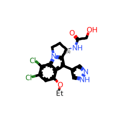 CCOc1cc(Cl)c(Cl)c2c1c(-c1cn[nH]c1)c1n2CC[C@@H]1NC(=O)CO